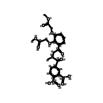 COC(=O)COc1cccc(C(=O)CN(C)C(=O)c2ccc([N+](=O)[O-])c([N+](=O)[O-])c2)c1OCC(=O)OC